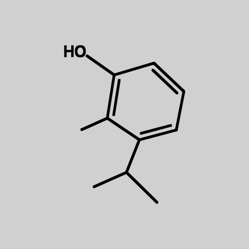 Cc1c(O)cccc1C(C)C